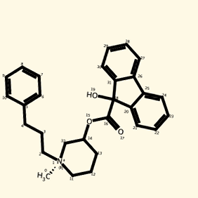 C[N@@+]1(CCCc2ccccc2)CCCC(OC(=O)C2(O)c3ccccc3-c3ccccc32)C1